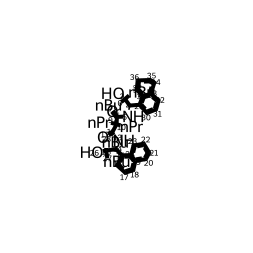 CCCCC(O)(CCCC)[C@@H](NC(=O)C(CCC)(CCC)C(=O)N[C@@H](c1cccc2ccccc12)C(O)(CCCC)CCCC)c1cccc2ccccc12